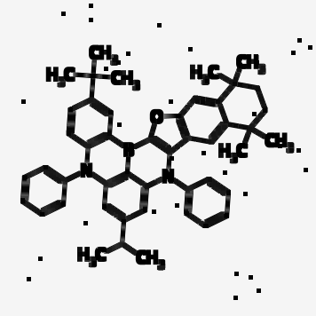 CC(C)c1cc2c3c(c1)N(c1ccccc1)c1c(oc4cc5c(cc14)C(C)(C)CCC5(C)C)B3c1cc(C(C)(C)C)ccc1N2c1ccccc1